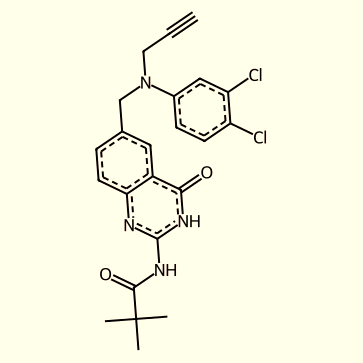 C#CCN(Cc1ccc2nc(NC(=O)C(C)(C)C)[nH]c(=O)c2c1)c1ccc(Cl)c(Cl)c1